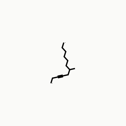 [CH2]CC#CCC(C)CCCCC[CH2]